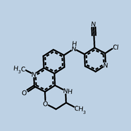 CC1COc2c(c3cc(Nc4ccnc(Cl)c4C#N)ccc3n(C)c2=O)N1